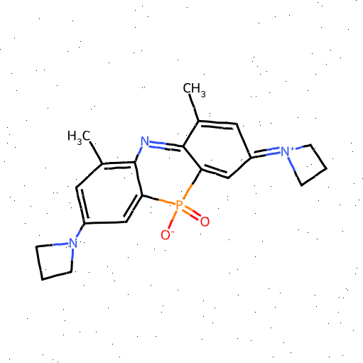 CC1=CC(=[N+]2CCC2)C=C2C1=Nc1c(C)cc(N3CCC3)cc1P2(=O)[O-]